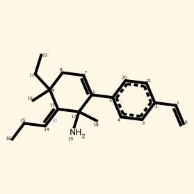 C=Cc1ccc(C2=CCC(C)(CC)/C(=C\CC)C2(C)N)cc1